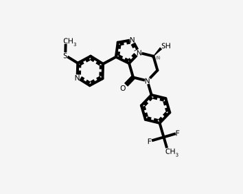 CSc1cc(-c2cnn3c2C(=O)N(c2ccc(C(C)(F)F)cc2)C[C@@H]3S)ccn1